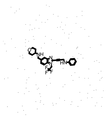 FC(F)(F)Cn1c(C#CCNc2ccccc2)nc2cc(CNC3CCOCC3)ccc21